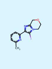 Cc1cccc(-c2nc3n(c2I)CCOC3)n1